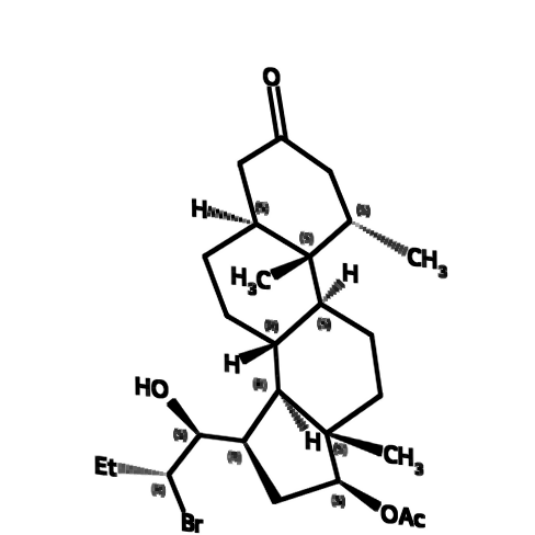 CC[C@@H](Br)[C@@H](O)[C@@H]1C[C@H](OC(C)=O)[C@@]2(C)CC[C@H]3[C@@H](CC[C@H]4CC(=O)C[C@H](C)[C@@]43C)[C@H]12